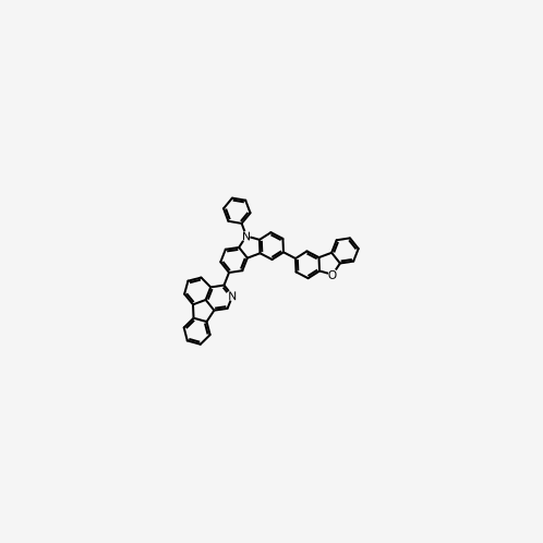 c1ccc(-n2c3ccc(-c4ccc5oc6ccccc6c5c4)cc3c3cc(-c4ncc5c6c(cccc46)-c4ccccc4-5)ccc32)cc1